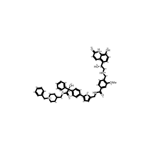 COc1cc(C(=O)NCc2ccc(-c3ccc([C@](O)(C(=O)OCC4CCN(Cc5ccccc5)CC4)c4ccccc4)cc3)s2)ccc1CNC[C@H](O)c1ccc(O)c2[nH]c(=O)ccc12